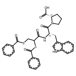 O=C(SCC(SC(=O)c1ccccc1)C(=O)N[C@@H](Cc1c[nH]c2ccccc12)C(=O)N1CCC[C@H]1C(=O)O)c1ccccc1